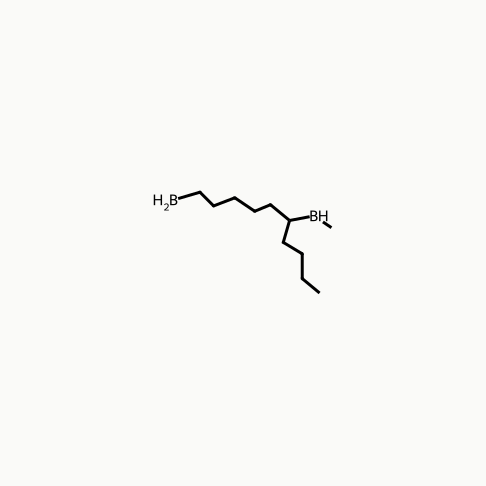 BCCCCCC(BC)CCCC